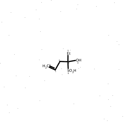 C=CCC(O)(CC)S(=O)(=O)O